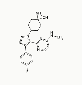 CNc1ccnc(-c2c(-c3ccc(F)cc3)ncn2C2CCC(N)(O)CC2)n1